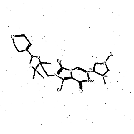 C[C@@H]1CN(Br)C[C@H]1c1cn2c(Br)[n+](CC3(C)OB(C4=CCOCC4)OC3(C)C)c(Br)c2c(=O)[nH]1